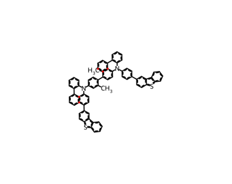 Cc1cc(N(c2ccc(-c3ccc4sc5ccccc5c4c3)cc2)c2ccccc2-c2ccccc2)ccc1-c1ccc(N(c2ccc(-c3ccc4sc5ccccc5c4c3)cc2)c2ccccc2-c2ccccc2)cc1C